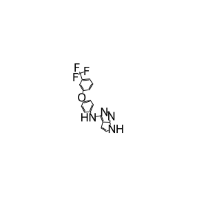 FC(F)(F)c1cccc(Oc2ccc(Nc3ncnc4[nH]ccc34)cc2)c1